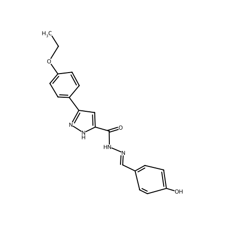 CCOc1ccc(-c2cc(C(=O)N/N=C/c3ccc(O)cc3)[nH]n2)cc1